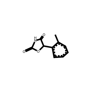 Cc1ccccc1C1OC(=O)NC1=O